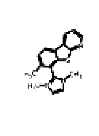 Cc1ccc2c(sc3ncccc32)c1-c1n(C)cc[n+]1C